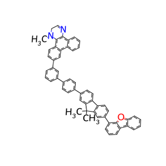 CN1CC=Nc2c1c1ccc(-c3cccc(-c4ccc(-c5ccc6c(c5)C(C)(C)c5cc(-c7cccc8c7oc7ccccc78)ccc5-6)cc4)c3)cc1c1ccccc21